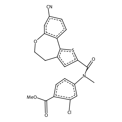 COC(=O)c1ccc(N(C)C(=O)c2cc3c(s2)-c2ccc(C#N)cc2OCC3)cc1Cl